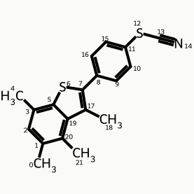 Cc1cc(C)c2sc(-c3ccc(SC#N)cc3)c(C)c2c1C